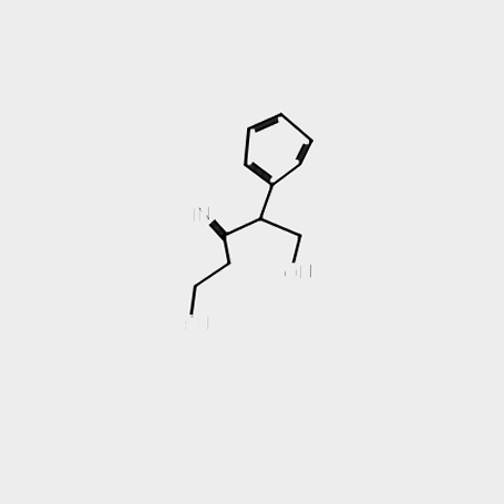 CCCC(=N)C(CO)c1ccccc1